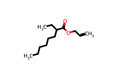 C=CCOC(=O)C(CC)CCCCCC